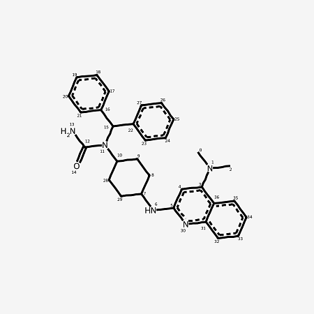 CN(C)c1cc(NC2CCC(N(C(N)=O)C(c3ccccc3)c3ccccc3)CC2)nc2ccccc12